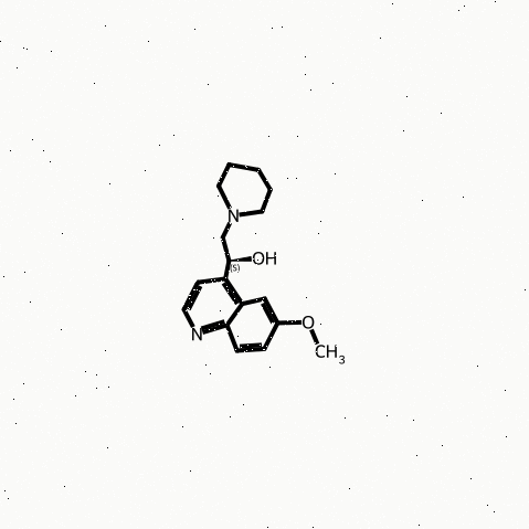 COc1ccc2nccc([C@H](O)CN3CCCCC3)c2c1